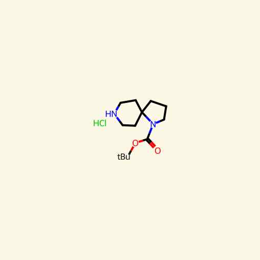 CC(C)(C)OC(=O)N1CCCC12CCNCC2.Cl